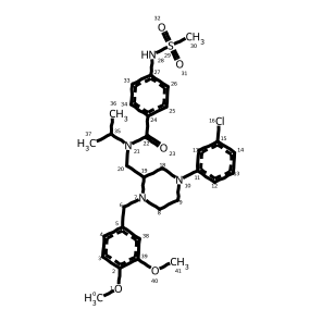 COc1ccc(CN2CCN(c3cccc(Cl)c3)CC2CN(C(=O)c2ccc(NS(C)(=O)=O)cc2)C(C)C)cc1OC